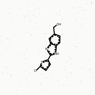 OCc1ccc2[nH]c(-c3ccc(Cl)s3)nc2c1